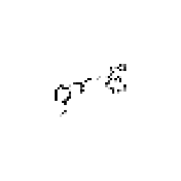 C=Cc1cccc(CNCCC[Si](OCC)(OCC)OCC)c1